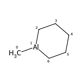 [CH3][Al]1[CH2]CCC[CH2]1